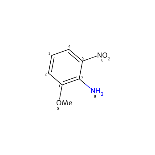 [CH2]Oc1cccc([N+](=O)[O-])c1N